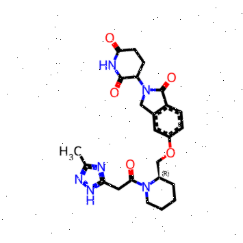 Cc1n[nH]c(CC(=O)N2CCCC[C@@H]2COc2ccc3c(c2)CN(C2CCC(=O)NC2=O)C3=O)n1